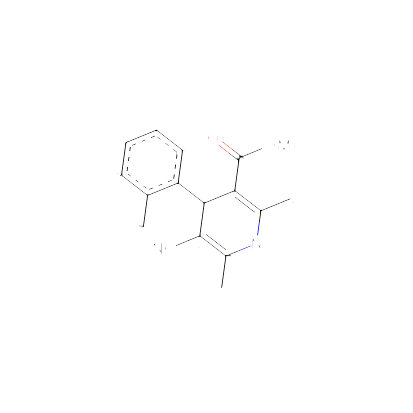 COC(=O)C1=C(C)NC(C)=C(C#N)C1c1ccccc1C